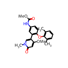 COC(=O)Nc1ccc(Oc2c(C)cccc2C)c(-c2cn(C)c(=O)cc2OC)c1